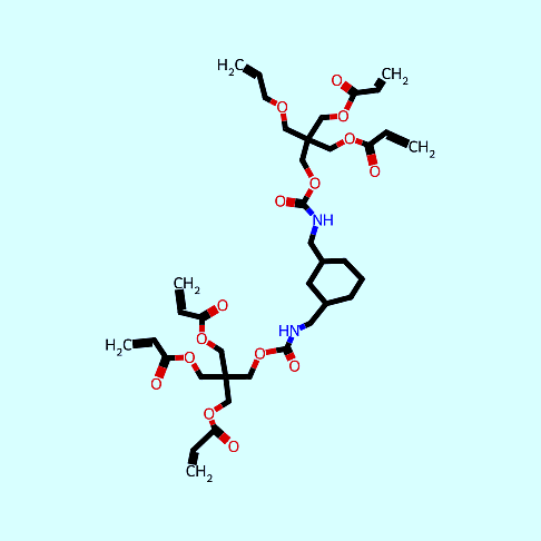 C=CCOCC(COC(=O)C=C)(COC(=O)C=C)COC(=O)NCC1CCCC(CNC(=O)OCC(COC(=O)C=C)(COC(=O)C=C)COC(=O)C=C)C1